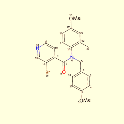 COc1ccc(CN(C(=O)c2ccncc2Br)c2ccc(OC)cc2C)cc1